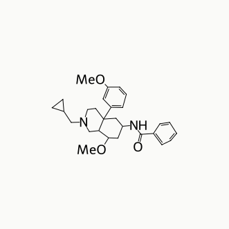 COc1cccc(C23CCN(CC4CC4)CC2C(OC)CC(NC(=O)c2ccccc2)C3)c1